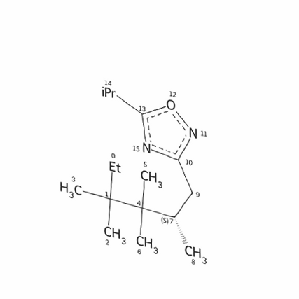 CCC(C)(C)C(C)(C)[C@@H](C)Cc1noc(C(C)C)n1